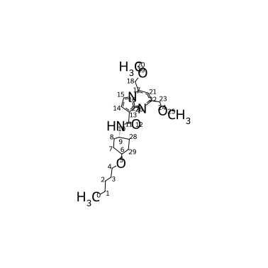 CCCCCO[C@H]1CC[C@H](NC(=O)c2ccn3c(COC)cc(COC)nc23)CC1